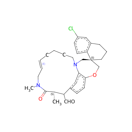 C[C@@H]1C(=O)N(C)C/C=C/CCCCN2C[C@@]3(CCCc4cc(Cl)ccc43)COc3ccc(cc32)C1C=O